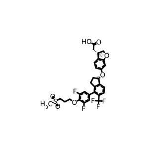 CS(=O)(=O)CCCOc1c(F)cc(-c2c(C(F)(F)F)ccc3c2CC[C@H]3Oc2ccc3c(c2)OC[C@H]3CC(=O)O)cc1F